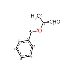 C[C@@H](C=O)OCc1ccccc1